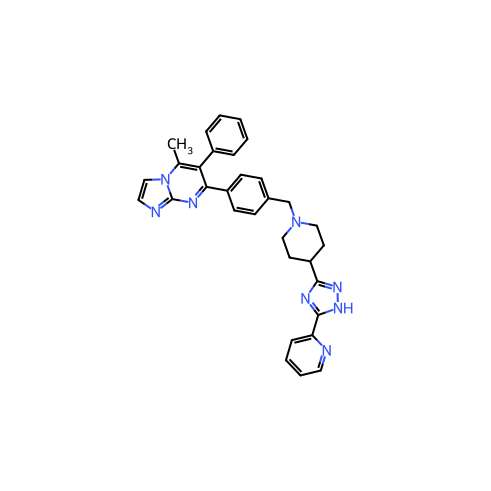 Cc1c(-c2ccccc2)c(-c2ccc(CN3CCC(c4n[nH]c(-c5ccccn5)n4)CC3)cc2)nc2nccn12